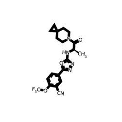 C[C@@H](Nc1nnc(-c2ccc(OC(F)(F)F)c(C#N)c2)o1)C(=O)N1CCC2(CC1)CC2